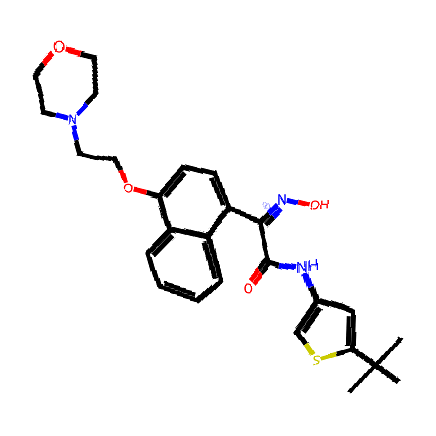 CC(C)(C)c1cc(NC(=O)/C(=N\O)c2ccc(OCCN3CCOCC3)c3ccccc23)cs1